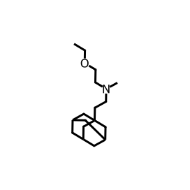 CCOCCN(C)CCC12CC3CC(CC(C3)C1)C2